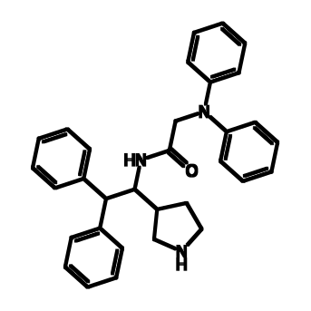 O=C(CN(c1ccccc1)c1ccccc1)NC(C1CCNC1)C(c1ccccc1)c1ccccc1